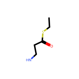 CCSC(=O)CC[NH]